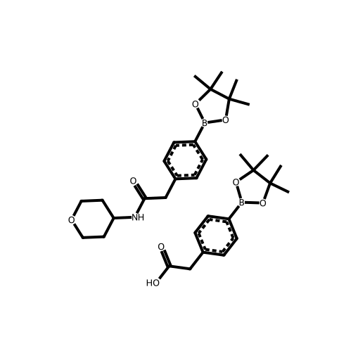 CC1(C)OB(c2ccc(CC(=O)NC3CCOCC3)cc2)OC1(C)C.CC1(C)OB(c2ccc(CC(=O)O)cc2)OC1(C)C